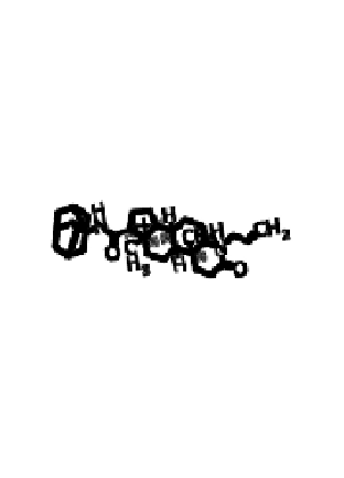 C=CCN1C(=O)CC[C@]2(C)[C@H]3CC[C@]4(C)[C@@H](C(=O)NC56CC7CC(CC(C7)C5)C6)CC[C@H]4[C@@H]3CC[C@@H]12